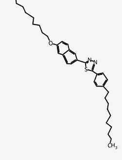 CCCCCCCCCCOc1ccc2cc(-c3nnc(-c4ccc(CCCCCCCCCC)cc4)s3)ccc2c1